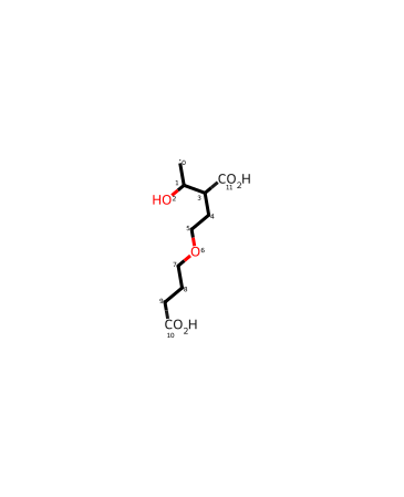 [CH2]C(O)C(CCOCCCC(=O)O)C(=O)O